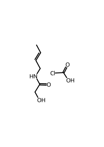 CC=CCNC(=O)CO.O=C(O)Cl